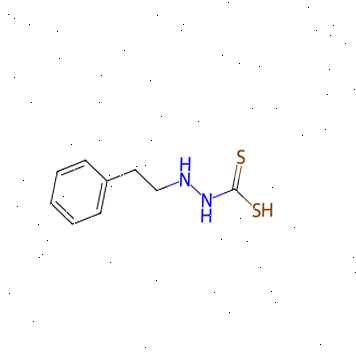 S=C(S)NNCCc1ccccc1